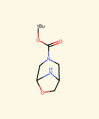 CC(C)(C)OC(=O)N1CC2COC(C1)N2